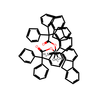 [CH3][Ti]([CH3])(=[SiH2])([O]C(=O)C(c1ccccc1)(c1ccccc1)c1ccccc1)([O]C(=O)C(c1ccccc1)(c1ccccc1)c1ccccc1)([c]1cccc2c1Cc1ccccc1-2)[c]1cccc2c1Cc1ccccc1-2